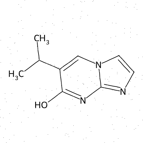 CC(C)c1cn2ccnc2nc1O